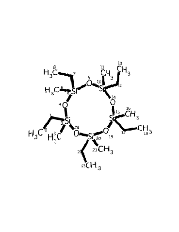 CC[Si]1(C)O[Si](C)(CC)O[Si](C)(CC)O[Si](C)(CC)O[Si](C)(CC)O1